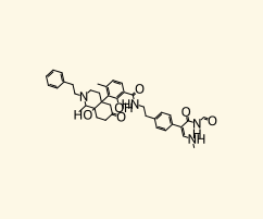 CN/C=C(\C(=O)NC=O)c1ccc(CCNC(=O)c2ccc(C)c(C34CCN(CCc5ccccc5)C(C)C3(O)CCC(=O)C4)c2O)cc1